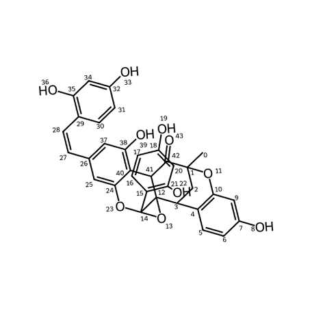 CC12CC(c3ccc(O)cc3O1)C13OC1(c1ccc(O)cc1O)Oc1cc(/C=C\c4ccc(O)cc4O)cc(O)c1C3C2=O